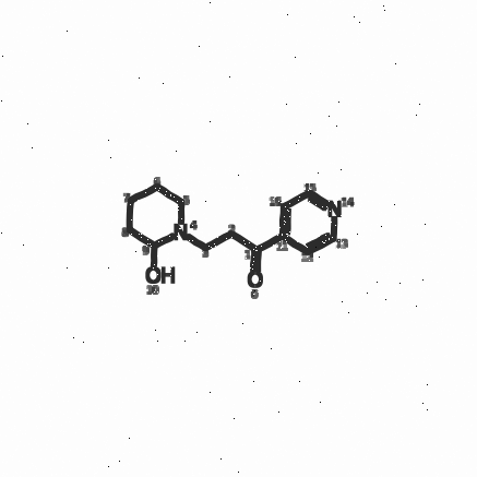 O=C(CCN1CCCCC1O)c1ccncc1